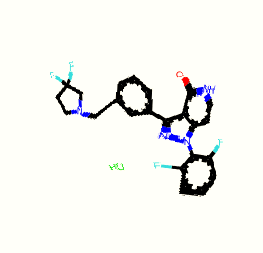 Cl.O=c1[nH]ccc2c1c(-c1cccc(CN3CCC(F)(F)C3)c1)nn2-c1c(F)cccc1F